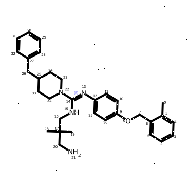 Cc1ccccc1COc1ccc(/N=C(\NCC(C)(C)CN)N2CCC(Cc3ccccc3)CC2)cc1